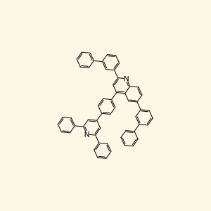 c1ccc(-c2cccc(-c3ccc4nc(-c5cccc(-c6ccccc6)c5)cc(-c5ccc(-c6cc(-c7ccccc7)nc(-c7ccccc7)c6)cc5)c4c3)c2)cc1